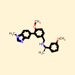 COc1cccc([C@@H](C)NCc2ccc(OC)c(-c3ccc4c(c3)ncn4C)c2)c1